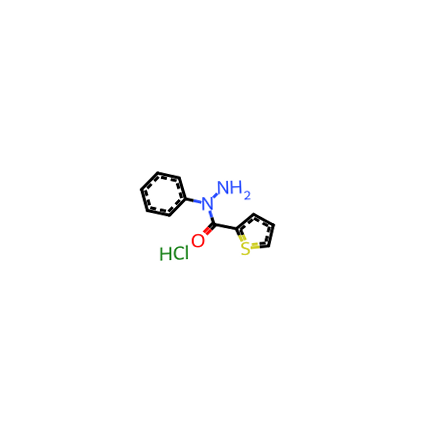 Cl.NN(C(=O)c1cccs1)c1ccccc1